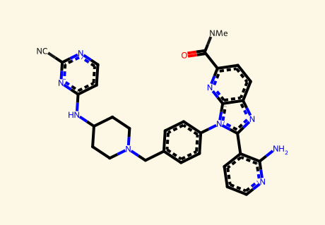 CNC(=O)c1ccc2nc(-c3cccnc3N)n(-c3ccc(CN4CCC(Nc5ccnc(C#N)n5)CC4)cc3)c2n1